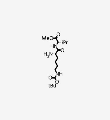 COC(=O)[C@@H](NC(=O)[C@@H](N)CCCCNC(=O)OC(C)(C)C)C(C)C